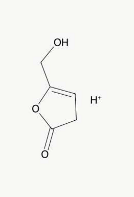 O=C1CC=C(CO)O1.[H+]